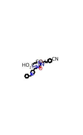 N#Cc1ccc(C=Cc2nc(C(=O)NCCC3CCN(Cc4ccccc4)CC3)no2)cc1.O=C(O)C=CC(=O)O